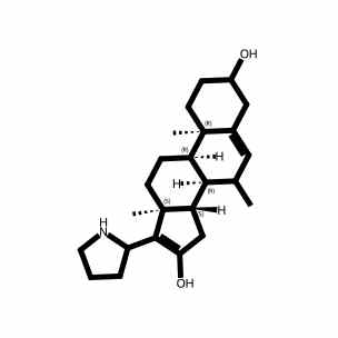 CC1C=C2CC(O)CC[C@]2(C)[C@@H]2CC[C@]3(C)C(C4CCCN4)=C(O)C[C@H]3[C@H]12